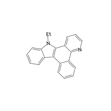 CCn1c2ccccc2c2c3ccccc3c3ncccc3c21